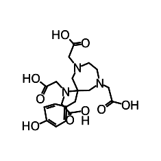 O=C(O)CN1CCN(CC(=O)O)CC(Cc2ccc(O)cc2)(N(CC(=O)O)CC(=O)O)C1